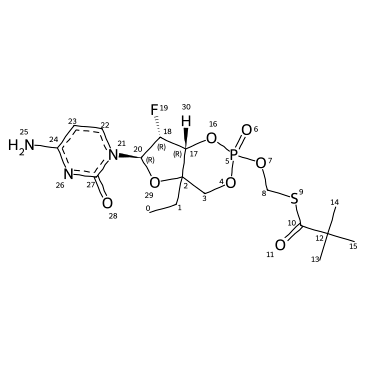 CCC12COP(=O)(OCSC(=O)C(C)(C)C)O[C@H]1[C@@H](F)[C@H](n1ccc(N)nc1=O)O2